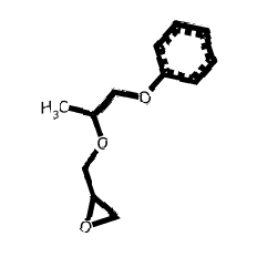 CC(COc1ccccc1)OCC1CO1